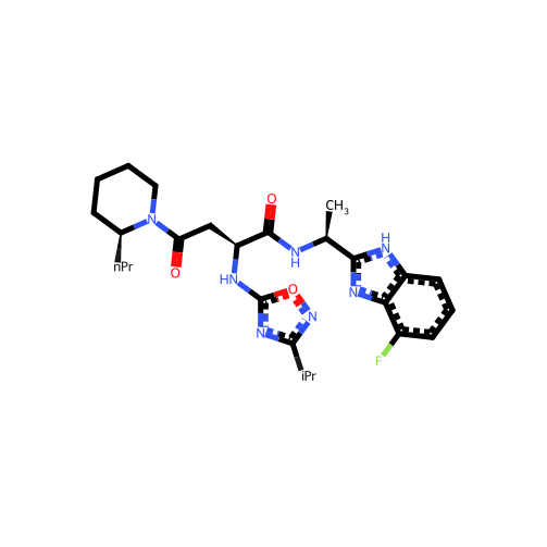 CCC[C@H]1CCCCN1C(=O)C[C@H](Nc1nc(C(C)C)no1)C(=O)N[C@@H](C)c1nc2c(F)cccc2[nH]1